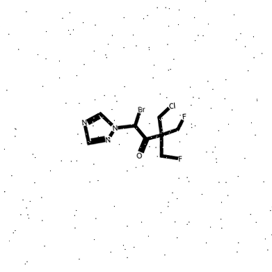 O=C(C(Br)n1cncn1)C(CF)(CF)CCl